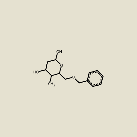 CC1C(O)CC(O)OC1COCc1ccccc1